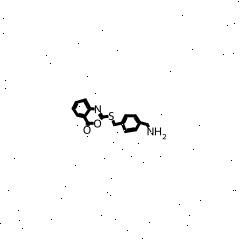 NCc1ccc(CSc2nc3ccccc3c(=O)o2)cc1